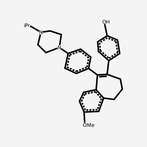 COc1ccc2c(c1)CCCC(c1ccc(O)cc1)=C2c1ccc(N2CCN(C(C)C)CC2)cc1